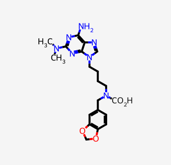 CN(C)c1nc(N)c2ncn(CCCCN(Cc3ccc4c(c3)OCO4)C(=O)O)c2n1